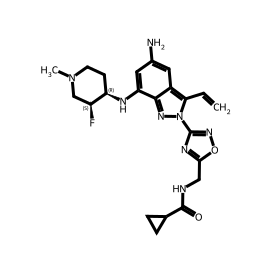 C=Cc1c2cc(N)cc(N[C@@H]3CCN(C)C[C@@H]3F)c2nn1-c1noc(CNC(=O)C2CC2)n1